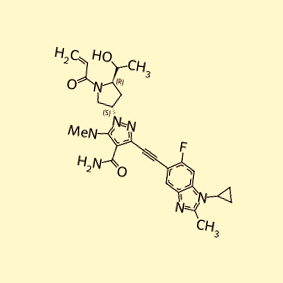 C=CC(=O)N1C[C@@H](n2nc(C#Cc3cc4nc(C)n(C5CC5)c4cc3F)c(C(N)=O)c2NC)C[C@@H]1C(C)O